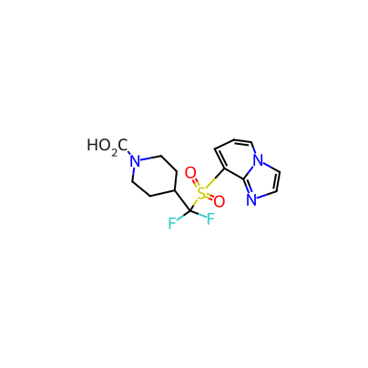 O=C(O)N1CCC(C(F)(F)S(=O)(=O)c2cccn3ccnc23)CC1